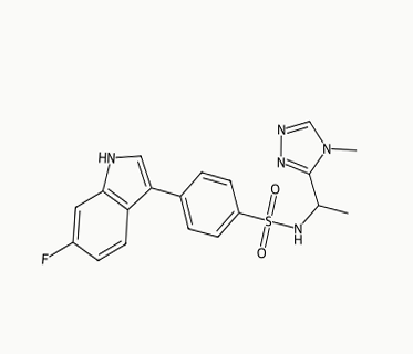 CC(NS(=O)(=O)c1ccc(-c2c[nH]c3cc(F)ccc23)cc1)c1nncn1C